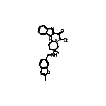 CCN(C(=O)c1nc2ccccc2[nH]1)[C@H]1CCCC(C)(NCc2ccc3nc(C)oc3c2)C1